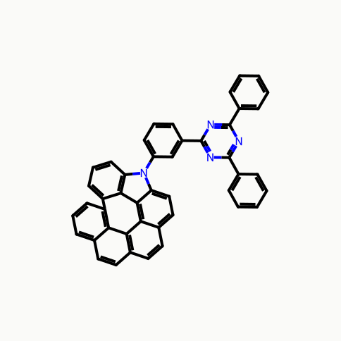 c1ccc(-c2nc(-c3ccccc3)nc(-c3cccc(-n4c5cccc6c5c5c7c(ccc8ccc9cccc-6c9c87)ccc54)c3)n2)cc1